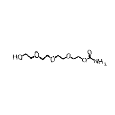 NC(=O)OCCOCCOCCOCCO